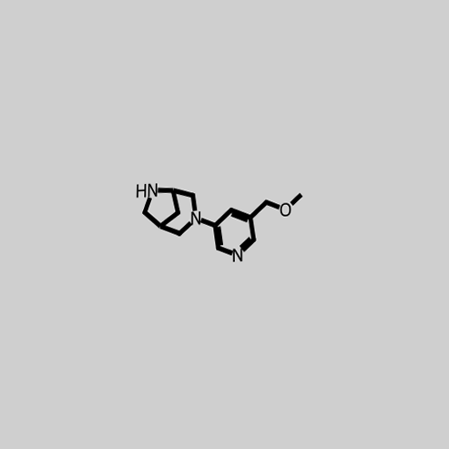 COCc1cncc(N2CC3CNC(C3)C2)c1